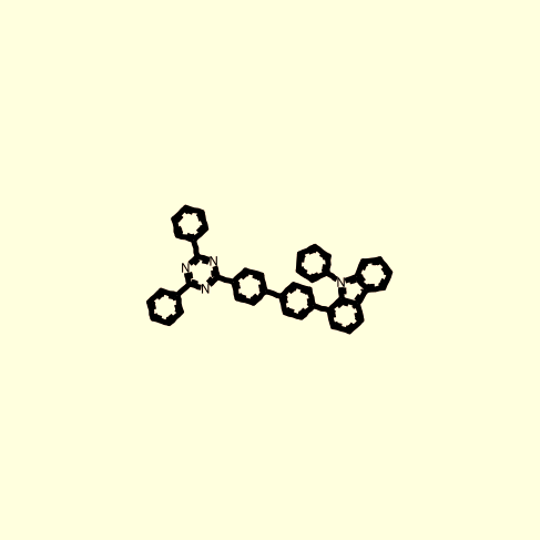 c1ccc(-c2nc(-c3ccccc3)nc(-c3ccc(-c4ccc(-c5cccc6c7ccccc7n(-c7ccccc7)c56)cc4)cc3)n2)cc1